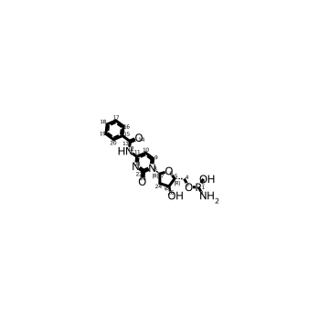 NP(O)OC[C@H]1O[C@@H](n2ccc(NC(=O)c3ccccc3)nc2=O)C[C@@H]1O